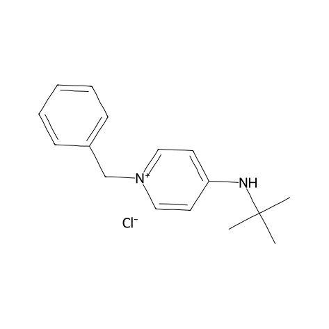 CC(C)(C)Nc1cc[n+](Cc2ccccc2)cc1.[Cl-]